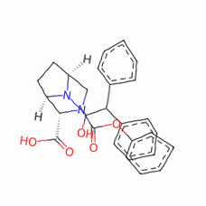 O=C(O)[C@@H]1[C@H]2CC[C@@H](CN1C(=O)Oc1ccccc1)N2C(O)C(c1ccccc1)c1ccccc1